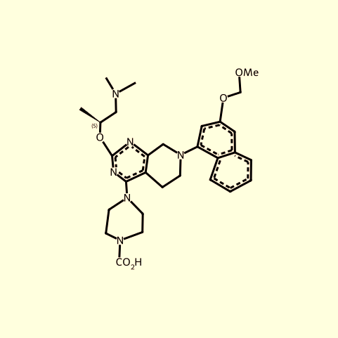 COCOc1cc(N2CCc3c(nc(O[C@@H](C)CN(C)C)nc3N3CCN(C(=O)O)CC3)C2)c2ccccc2c1